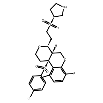 O=S(=O)(CC[C@@H]1OCC[C@@]2(S(=O)(=O)c3ccc(Cl)cc3)c3c(F)ccc(F)c3OC[C@@H]12)[C@H]1CCNC1